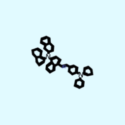 C1=CCC(N(C2=CCCC=C2)C2=CC=C(/C=C/c3ccc(N(C4=C5C=CCCC5CC=C4)C4C=Cc5ccccc5C4)c4ccccc34)CC2)C=C1